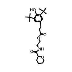 CC(C)(C)c1cc(CCC(=O)OCCNC(=O)C2CCCCO2)cc(C(C)(C)C)c1O